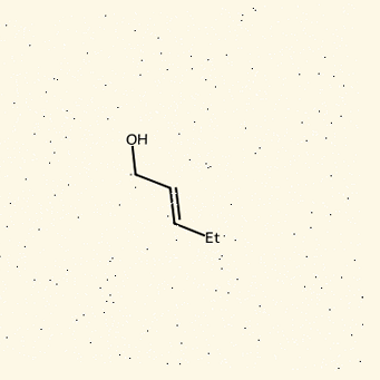 CCC=C[CH]O